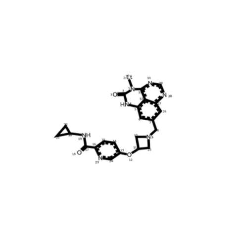 CCN1C(=O)Nc2cc(CN3CC(Oc4ccc(C(=O)NC5CC5)nc4)C3)cc3ncnc1c23